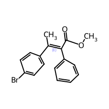 COC(=O)/C(=C(\C)c1ccc(Br)cc1)c1ccccc1